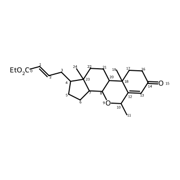 CCOC(=O)/C=C/CC1CCC2C3OC(C)C4=CC(=O)CCC4(C)C3CCC12C